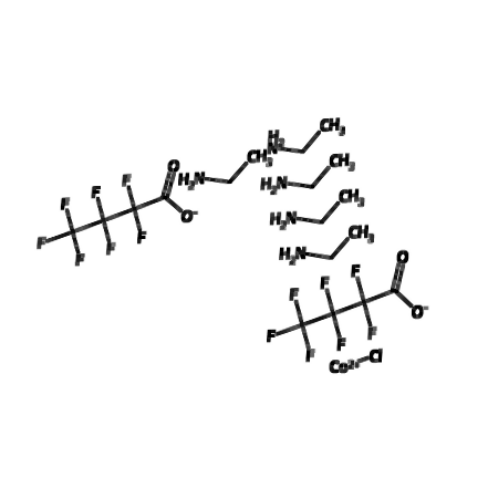 CCN.CCN.CCN.CCN.CCN.O=C([O-])C(F)(F)C(F)(F)C(F)(F)F.O=C([O-])C(F)(F)C(F)(F)C(F)(F)F.[Cl][Co+2]